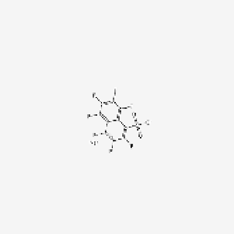 O=S(=O)([O-])c1c(F)c(F)c(F)c2c(F)c(F)c(F)c(F)c12.[Na+]